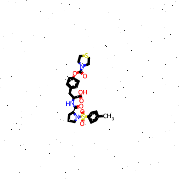 Cc1ccc(S(=O)(=O)N2CCC[C@H]2C(=O)NC(Cc2ccc(OC(=O)N3CCSCC3)cc2)C(=O)O)cc1